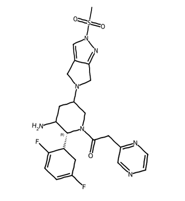 CS(=O)(=O)n1cc2c(n1)CN(C1CC(N)[C@@H](C3CC(F)=CC=C3F)N(C(=O)Cc3cnccn3)C1)C2